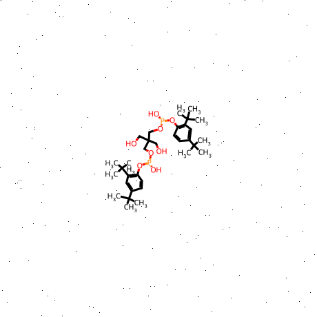 CC(C)(C)c1ccc(OP(O)OCC(CO)(CO)COP(O)Oc2ccc(C(C)(C)C)cc2C(C)(C)C)c(C(C)(C)C)c1